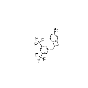 FC(F)(F)c1cc(CC2Cc3cc(Br)ccc32)cc(C(F)(F)F)c1